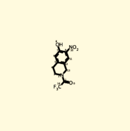 O=C(N1CCc2cc(O)c([N+](=O)[O-])cc2C1)C(F)(F)F